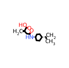 C=C(CC(=O)N[C@H]1CC[C@H](C(=C)C)CC1)C(=O)O